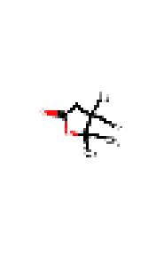 CCC1(C)CC(=O)OC1(C)C